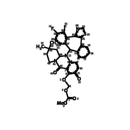 COC(=O)OCOc1c2n(ccc1=O)N(C1c3ccccc3-c3scnc3-c3c1ccc(F)c3F)C1CC(C)(C)CCN1C2=O